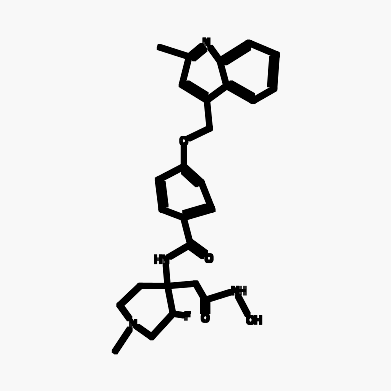 Cc1cc(COc2ccc(C(=O)NC3(CC(=O)NO)CCN(C)CC3F)cc2)c2ccccc2n1